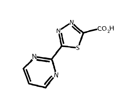 O=C(O)c1nnc(-c2ncccn2)s1